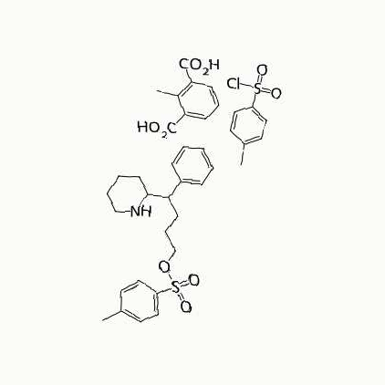 Cc1c(C(=O)O)cccc1C(=O)O.Cc1ccc(S(=O)(=O)Cl)cc1.Cc1ccc(S(=O)(=O)OCCCC(c2ccccc2)C2CCCCN2)cc1